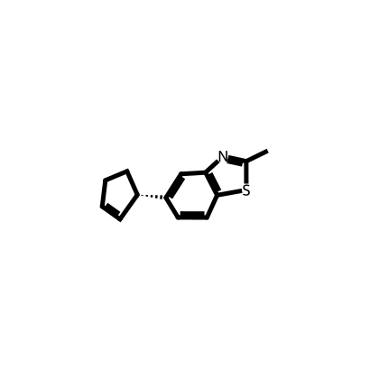 Cc1nc2cc([C@@H]3C=CCC3)ccc2s1